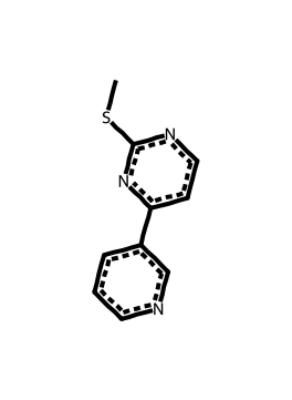 CSc1nccc(-c2cccnc2)n1